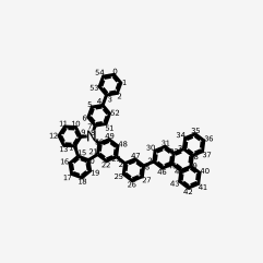 c1ccc(-c2ccc(N3c4ccccc4-c4ccccc4-c4cc(-c5cccc(-c6ccc7c8ccccc8c8ccccc8c7c6)c5)ccc43)cc2)cc1